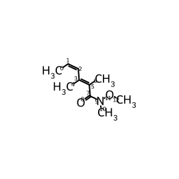 C/C=C\C(C)=C(/C)C(=O)N(C)OC